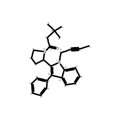 CC#CCn1c(C2CCCN2C(=O)CC(C)(C)C)c(-c2ccccc2)c2ccccc21